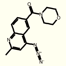 Cc1cc(N=[N+]=[N-])c2cc(C(=O)N3CCOCC3)ccc2n1